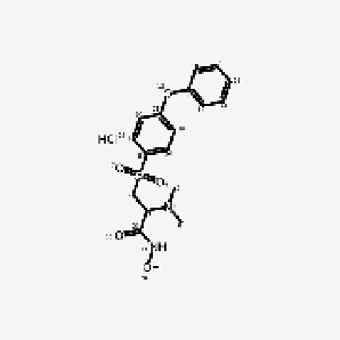 CN(C)C(CS(=O)(=O)c1ccc(Oc2ccccc2)cc1)C(=O)NO.Cl